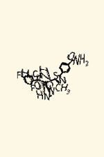 Cc1nc(-c2ccc(C(N)=O)cc2)sc1C(=O)N[C@H](C)[C@](O)(Cn1cncn1)c1ccc(F)cc1F